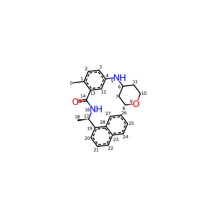 Cc1ccc(NC2CCOCC2)cc1C(=O)N[C@H](C)c1cccc2ccccc12